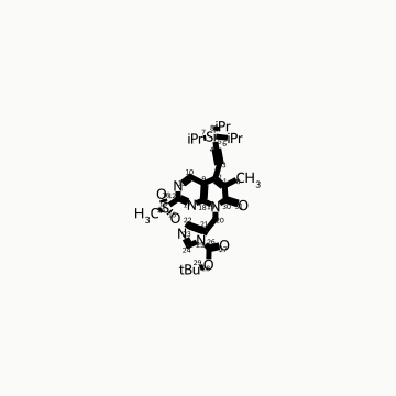 Cc1c(C#C[Si](C(C)C)(C(C)C)C(C)C)c2cnc(S(C)(=O)=O)nc2n(Cc2cncn2C(=O)OC(C)(C)C)c1=O